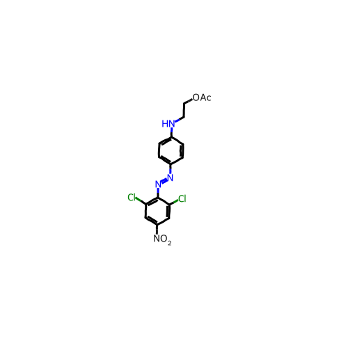 CC(=O)OCCNc1ccc(N=Nc2c(Cl)cc([N+](=O)[O-])cc2Cl)cc1